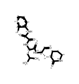 CC(C)C[C@H](NC(=O)C(=O)Nc1ccccc1F)C(=O)N[C@H](C=O)C[C@@H]1CCCNC1=O